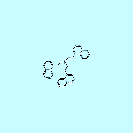 c1ccc2c(CCN(CCc3cccc4ccccc34)CCc3cccc4ccccc34)cccc2c1